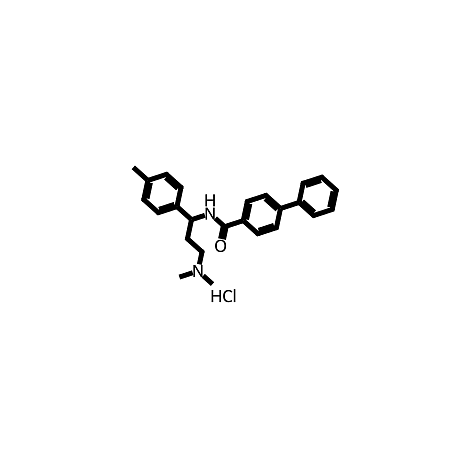 Cc1ccc(C(CCN(C)C)NC(=O)c2ccc(-c3ccccc3)cc2)cc1.Cl